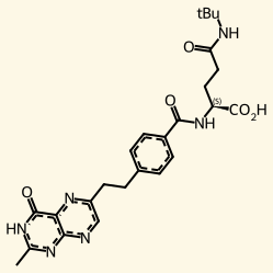 Cc1nc2ncc(CCc3ccc(C(=O)N[C@@H](CCC(=O)NC(C)(C)C)C(=O)O)cc3)nc2c(=O)[nH]1